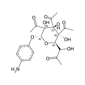 CC(=O)C(O)[C@H]1O[C@H](Oc2ccc(N)cc2)[C@@](O)(C(C)=O)[C@](O)(C(C)=O)[C@@]1(O)C(C)=O